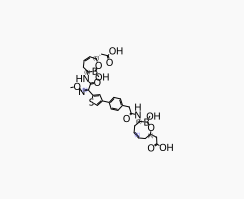 CO/N=C(\C(=O)N[C@H]1CC=C[C@H](CC(=O)O)OB1O)c1cc(-c2ccc(CC(=O)N[C@H]3C/C=C\C[C@H](CC(=O)O)OB3O)cc2)cs1